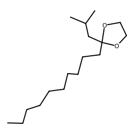 CCCCCCCCCCC1(CC(C)C)OCCO1